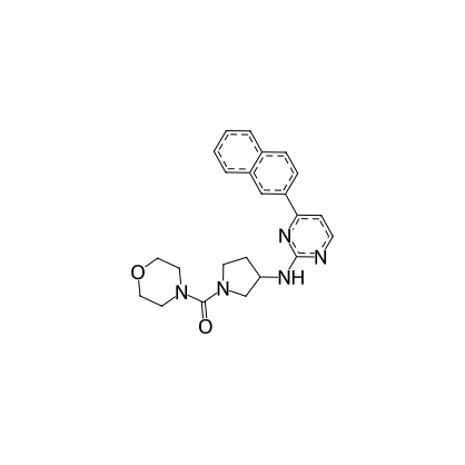 O=C(N1CCOCC1)N1CCC(Nc2nccc(-c3ccc4ccccc4c3)n2)C1